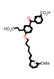 COc1cccc(C=CCCCCOc2ccc(C(=O)c3cccc(C(=O)O)c3)cc2CCC(=O)O)c1